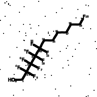 OCC(F)(F)C(F)(F)C(F)(F)C(F)(F)CCCCCCF